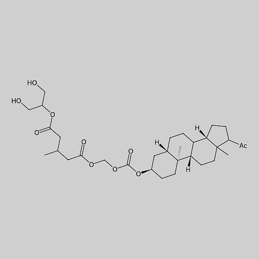 CC(=O)C1CC[C@H]2C3CC[C@H]4C[C@H](OC(=O)OCOC(=O)CC(C)CC(=O)OC(CO)CO)CC[C@]4(C)[C@H]3CCC12C